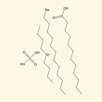 CCCCCCCCCCCC(=O)O.CCCCCCCCCCC[CH2][Na].CCC[CH2][Sn][CH2]CCC.O=S(=O)(O)O